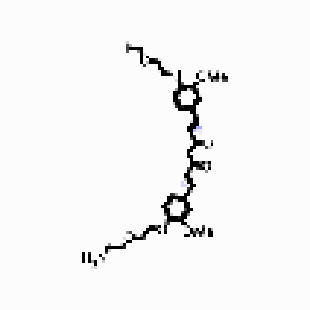 COc1cc(/C=C/C(=O)CC(=O)/C=C/c2ccc(OCCOCCN)c(OC)c2)ccc1OCCOCI